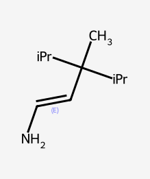 CC(C)C(C)(/C=C/N)C(C)C